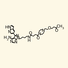 CC(=O)CCOCCN1CCN(C(=O)CCC(=O)NCCCCn2nc(-c3cnc4[nH]ccc4c3)c3c(N)ncnc32)CC1